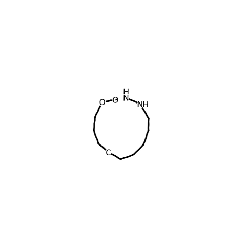 C1CCCCNNOOCCCC1